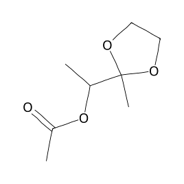 CC(=O)OC(C)C1(C)OCCO1